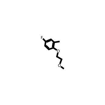 COCCOc1ccc(F)cc1C